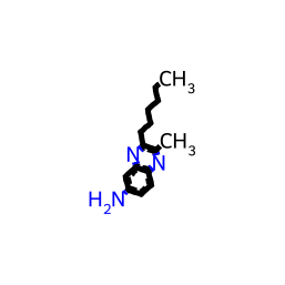 CCCCCCc1nc2cc(N)ccc2nc1C